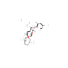 CC(C)(Oc1ncc(C(F)(F)F)cc1Cl)C(=O)N[C@H]1C[C@H]2CC[C@@H](C1)N2c1ccc(C(=O)NCC(F)(F)F)cn1